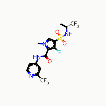 C[C@@H](NS(=O)(=O)c1cn(C)c(C(=O)Nc2ccnc(C(F)(F)F)c2)c1F)C(F)(F)F